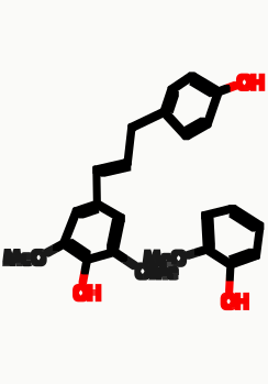 COc1cc(/C=C/Cc2ccc(O)cc2)cc(OC)c1O.COc1ccccc1O